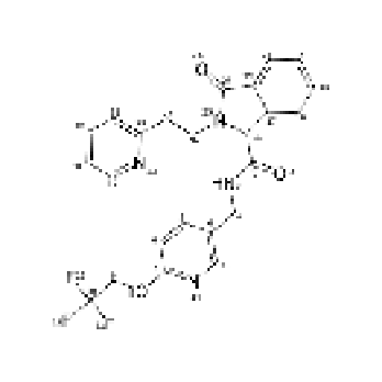 O=C(NCc1ccc(OCC(F)(F)F)nc1)C1c2ccccc2C(=O)N1CCc1ccccn1